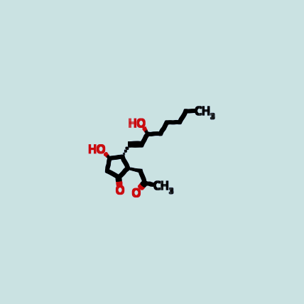 CCCCC[C@H](O)/C=C/[C@H]1[C@H](O)CC(=O)[C@@H]1CC(C)=O